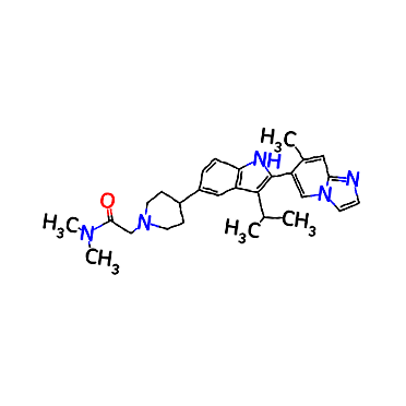 Cc1cc2nccn2cc1-c1[nH]c2ccc(C3CCN(CC(=O)N(C)C)CC3)cc2c1C(C)C